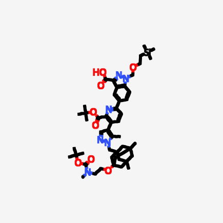 Cc1c(-c2ccc(-c3ccc4c(c3)c(C(=O)O)nn4COCC[Si](C)(C)C)nc2C(=O)OC(C)(C)C)cnn1CC12CC3(C)CC(C)(C1)CC(OCCN(C)C(=O)OC(C)(C)C)(C3)C2